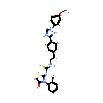 CC(C)(C)c1ccccc1N1C(=O)CS/C1=N\C(=S)NCCc1ccc(-c2ncn(-c3ccc(OC(F)(F)F)cc3)n2)cc1